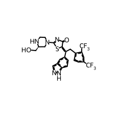 O=C1N=C(N2CCN[C@H](CO)C2)SC1=C(Cc1ccc(C(F)(F)F)cc1C(F)(F)F)c1ccc2[nH]ncc2c1